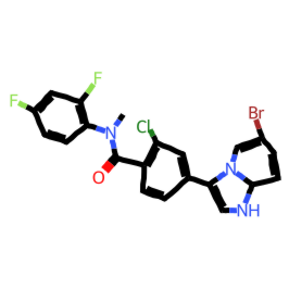 CN(C(=O)c1ccc(C2=CNC3C=CC(Br)=CN23)cc1Cl)c1ccc(F)cc1F